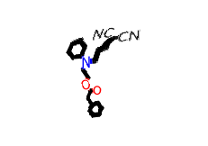 N#CC(C#N)=C/C=C/N(CCOC(=O)Cc1ccccc1)C1CCCCC1